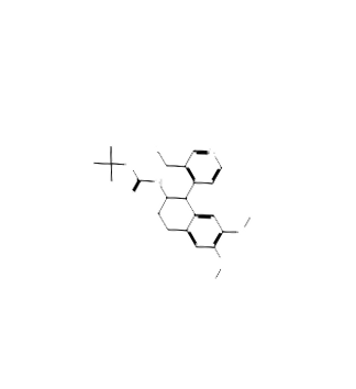 COc1cc2c(cc1OC)C(c1ccncc1CCl)C(NC(=O)OC(C)(C)C)CC2